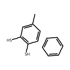 Cc1ccc(S)c(S)c1.c1ccccc1